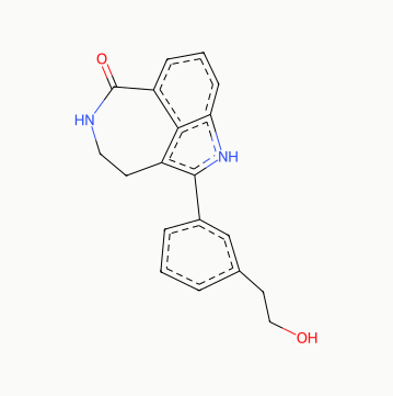 O=C1NCCc2c(-c3cccc(CCO)c3)[nH]c3cccc1c23